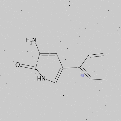 C=C/C(=C\C)c1c[nH]c(=O)c(N)c1